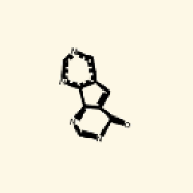 O=C1N=CN=C2C1=Cc1cncnc12